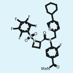 CNC(=O)c1ccc(N(Cc2ccc(C3CCCCC3)cn2)C(=O)[C@H]2CCN2S(=O)(=O)c2c(F)c(F)c(F)c(F)c2F)c(F)c1